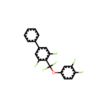 Fc1ccc(OC(F)(F)c2c(F)cc(-c3ccccc3)cc2F)cc1F